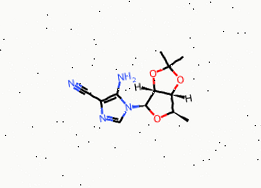 C[C@H]1O[C@@H](n2cnc(C#N)c2N)[C@@H]2OC(C)(C)O[C@@H]21